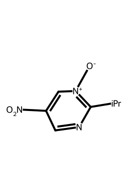 CC(C)c1ncc([N+](=O)[O-])c[n+]1[O-]